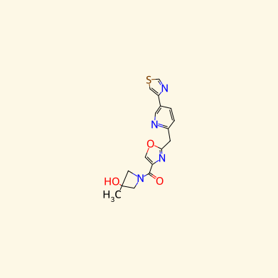 CC1(O)CN(C(=O)c2coc(Cc3ccc(-c4cscn4)cn3)n2)C1